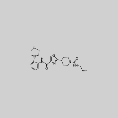 C=CCNC(=O)N1CCC(c2nc(C(=O)Nc3ccccc3N3CCOCC3)cs2)CC1